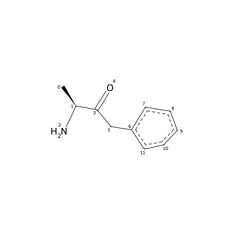 C[C@H](N)C(=O)Cc1ccccc1